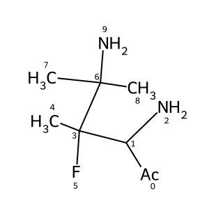 CC(=O)C(N)C(C)(F)C(C)(C)N